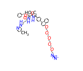 Cc1ccnc(NCCCC(=O)N[C@@H](COCc2ccccc2)C(=O)N[C@@H](CC(=O)O)c2ccc(-c3ccc(OCCOCCOCCOCCOCCN=[N+]=[N-])c4ccccc34)cc2)c1